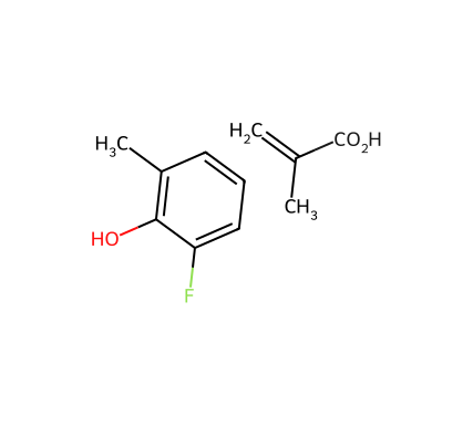 C=C(C)C(=O)O.Cc1cccc(F)c1O